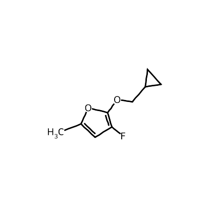 Cc1cc(F)c(OCC2CC2)o1